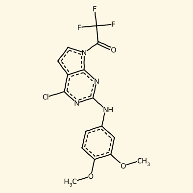 COc1ccc(Nc2nc(Cl)c3ccn(C(=O)C(F)(F)F)c3n2)cc1OC